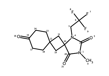 CN1C(=O)N(CC(F)(F)F)C2(CC3(CCC(=O)CC3)C2)C1=O